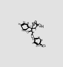 NC(CC(=O)O)(C(=O)COc1ccc(Cl)cc1)c1ccccc1